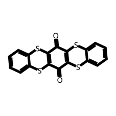 O=c1c2sc3ccccc3sc2c(=O)c2sc3ccccc3sc12